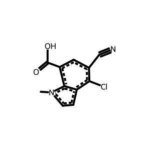 Cn1ccc2c(Cl)c(C#N)cc(C(=O)O)c21